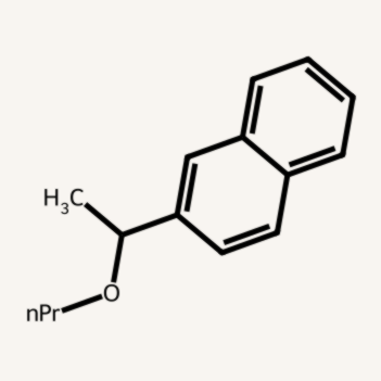 CCCOC(C)c1ccc2ccccc2c1